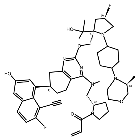 C#Cc1c(F)ccc2cc(O)cc([C@@H]3CCc4c(nc(OC[C@]5(C(C)(C)O)C[C@@H](F)CN5C5CCC(N6CCOC[C@@H]6C)CC5)nc4N(C)C[C@@H]4CCCN4C(=O)C=C)C3)c12